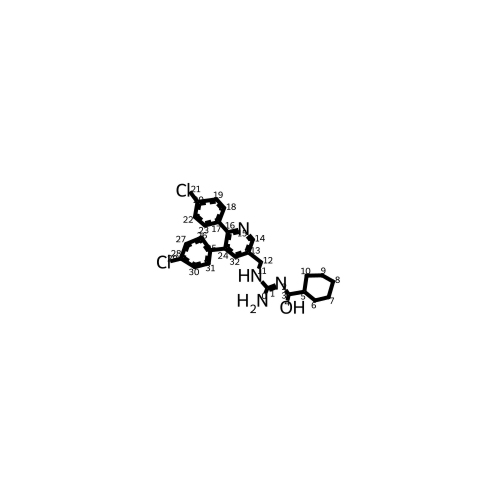 N/C(=N\C(O)C1CCCCC1)NCc1cnc(-c2ccc(Cl)cc2)c(-c2ccc(Cl)cc2)c1